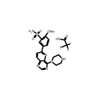 COc1ccc(-c2ccc3ncnc(N4CCNCC4)c3n2)cc1S(N)(=O)=O.O=C(O)C(F)(F)F